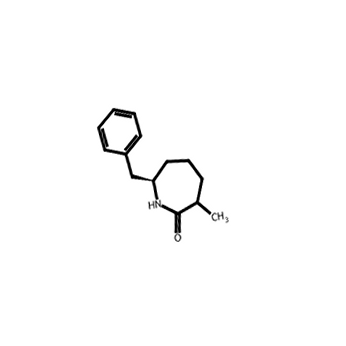 CC1CCC[C@H](Cc2ccccc2)NC1=O